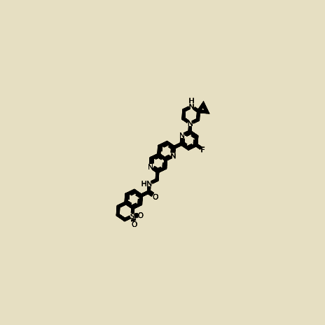 O=C(NCc1cc2nc(-c3cc(F)cc(N4CCNC5(CC5)C4)n3)ccc2cn1)c1ccc2c(c1)S(=O)(=O)CCC2